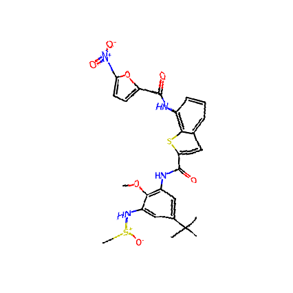 COc1c(NC(=O)c2cc3cccc(NC(=O)c4ccc([N+](=O)[O-])o4)c3s2)cc(C(C)(C)C)cc1N[S+](C)[O-]